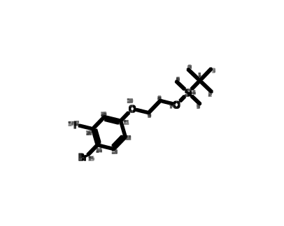 CC(C)(C)[Si](C)(C)OCCOc1ccc(Br)c(F)c1